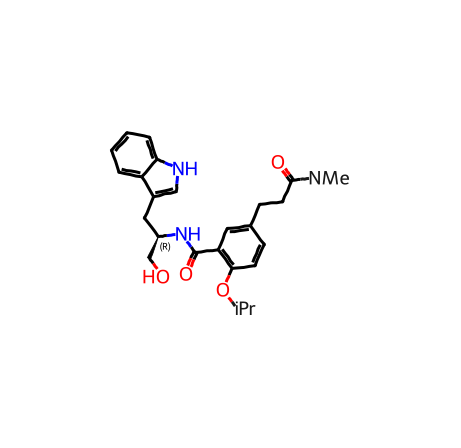 CNC(=O)CCc1ccc(OC(C)C)c(C(=O)N[C@@H](CO)Cc2c[nH]c3ccccc23)c1